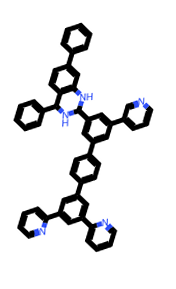 c1ccc(-c2ccc3c(c2)NC(c2cc(-c4ccc(-c5cc(-c6ccccn6)cc(-c6ccccn6)c5)cc4)cc(-c4cccnc4)c2)NC3c2ccccc2)cc1